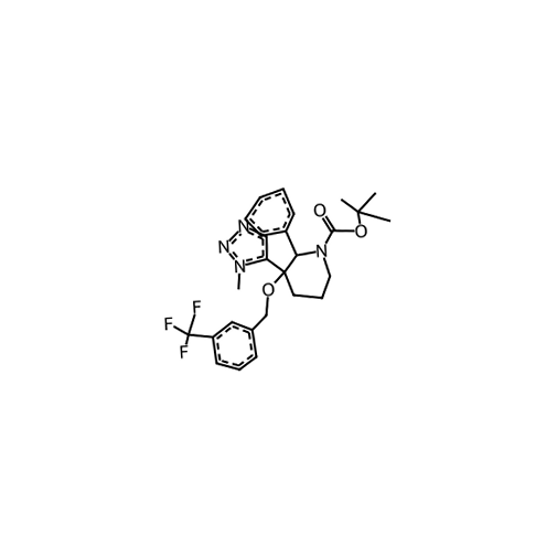 Cn1nncc1C1(OCc2cccc(C(F)(F)F)c2)CCCN(C(=O)OC(C)(C)C)C1c1ccccc1